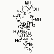 C[C@]12C=CC(=O)C=C1CC[C@@H]1[C@@H]2[C@@H](O)C[C@@]2(C)[C@H]1C[C@H]1O[C@@H](c3ccn(Cc4ccc(CO)c(N)c4)c3)O[C@]12C(=O)COC(=O)C(=O)O